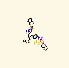 C/C=C(\C=C/CNC(=S)OCC1C=Cc2ccccc2C1)Cc1ccc(N[C@H](S)OC2=CC3CC=CCC3CC2)cc1